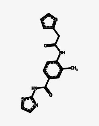 Cc1cc(C(=O)Nc2nccs2)ccc1NC(=O)Cc1cccs1